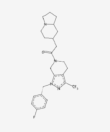 O=C(CC1CCN2CCCC2C1)N1CCc2c(C(F)(F)F)nn(Cc3ccc(F)cc3)c2C1